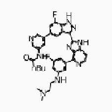 CCCCC(=O)Nc1cncc(-c2cc(F)c3[nH]nc(-c4nc5c(-c6cc(F)cc(NCCN(C)C)c6)nccc5[nH]4)c3c2)c1